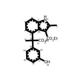 CCOC(=O)c1c(C)[nH]c2cccc(C(C)(C(=O)O)c3cccc(O)c3)c12